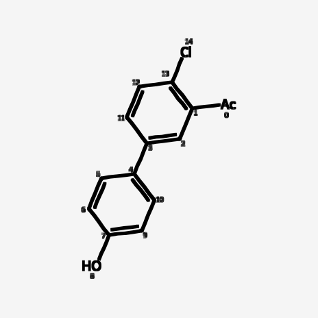 CC(=O)c1cc(-c2ccc(O)cc2)ccc1Cl